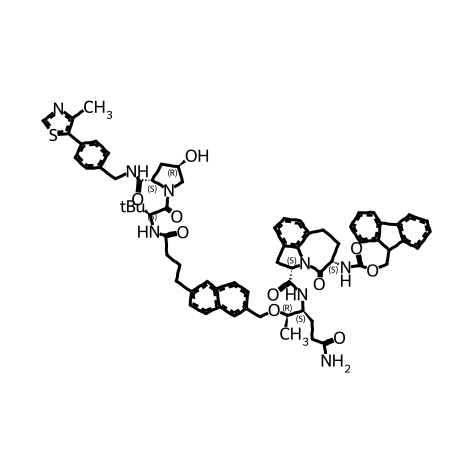 Cc1ncsc1-c1ccc(CNC(=O)[C@@H]2C[C@@H](O)CN2C(=O)[C@@H](NC(=O)CCCc2ccc3cc(CO[C@H](C)[C@H](CCC(N)=O)NC(=O)[C@@H]4Cc5cccc6c5N4C(=O)[C@@H](NC(=O)OCC4c5ccccc5-c5ccccc54)CC6)ccc3c2)C(C)(C)C)cc1